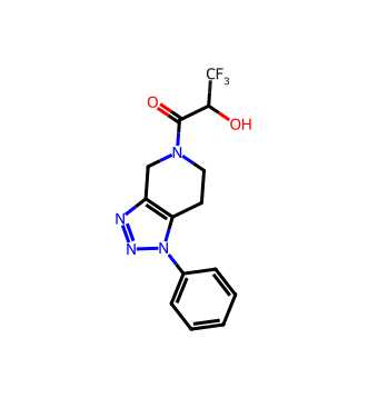 O=C(C(O)C(F)(F)F)N1CCc2c(nnn2-c2ccccc2)C1